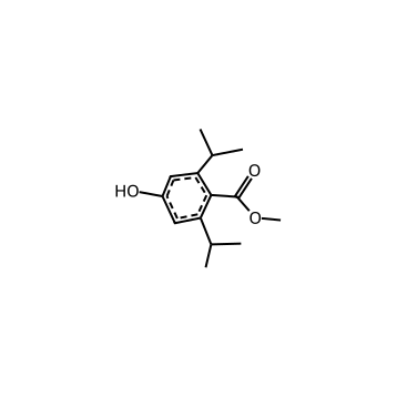 COC(=O)c1c(C(C)C)cc(O)cc1C(C)C